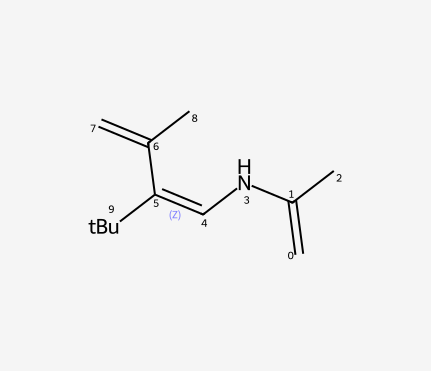 C=C(C)N/C=C(\C(=C)C)C(C)(C)C